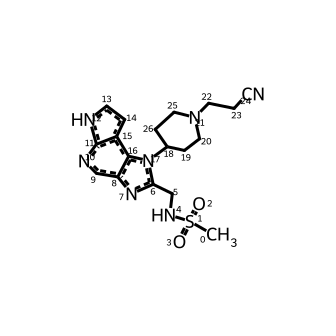 CS(=O)(=O)NCc1nc2cnc3[nH]ccc3c2n1C1CCN(CCC#N)CC1